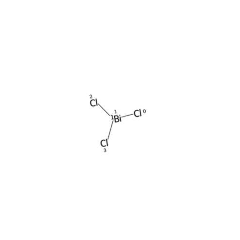 [Cl][1Bi]([Cl])[Cl]